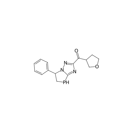 O=C(c1nc2n(n1)C(c1ccccc1)CP2)C1CCOC1